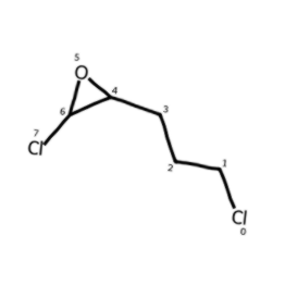 ClCCCC1OC1Cl